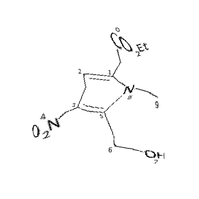 CCOC(=O)c1cc([N+](=O)[O-])c(CO)n1C